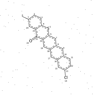 Cc1ccc2sc3cc4cc5ccc(Cl)cc5cc4cc3c(=O)c2c1